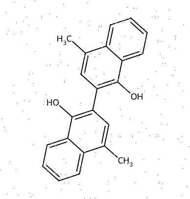 Cc1cc(-c2cc(C)c3ccccc3c2O)c(O)c2ccccc12